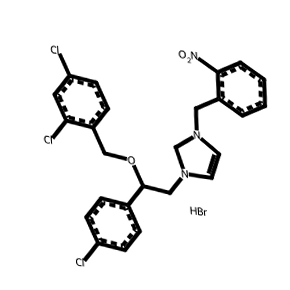 Br.O=[N+]([O-])c1ccccc1CN1C=CN(CC(OCc2ccc(Cl)cc2Cl)c2ccc(Cl)cc2)C1